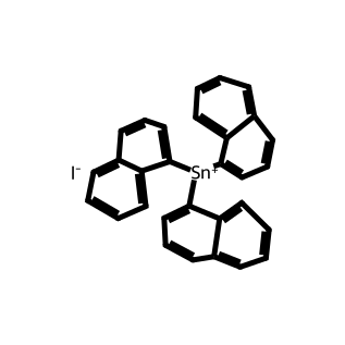 [I-].c1ccc2[c]([Sn+]([c]3cccc4ccccc34)[c]3cccc4ccccc34)cccc2c1